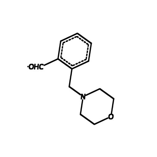 O=[C]c1ccccc1CN1CCOCC1